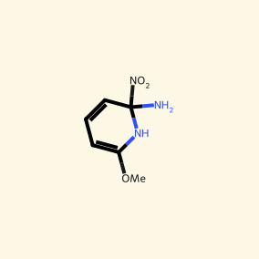 COC1=CC=CC(N)([N+](=O)[O-])N1